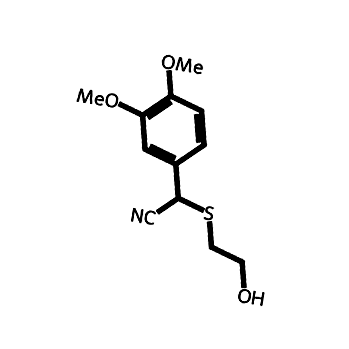 COc1ccc(C(C#N)SCCO)cc1OC